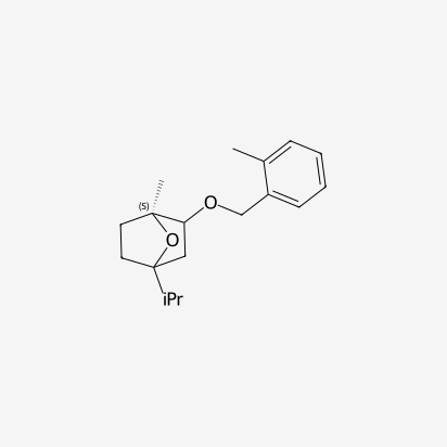 Cc1ccccc1COC1CC2(C(C)C)CC[C@]1(C)O2